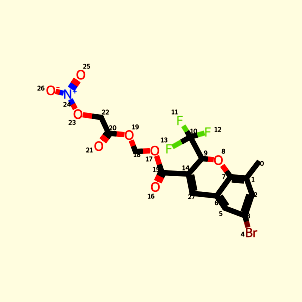 Cc1cc(Br)cc2c1OC(C(F)(F)F)C(C(=O)OCOC(=O)CO[N+](=O)[O-])=C2